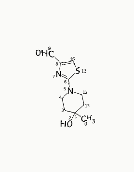 CC1(O)CCN(c2nc(C=O)cs2)CC1